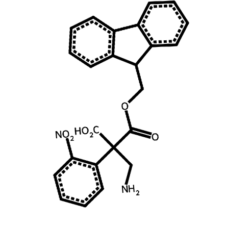 NCC(C(=O)O)(C(=O)OCC1c2ccccc2-c2ccccc21)c1ccccc1[N+](=O)[O-]